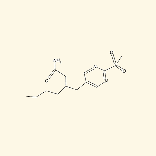 CCCCC(CC(N)=O)Cc1cnc(S(C)(=O)=O)nc1